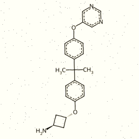 CC(C)(c1ccc(Oc2cncnc2)cc1)c1ccc(O[C@H]2C[C@H](N)C2)cc1